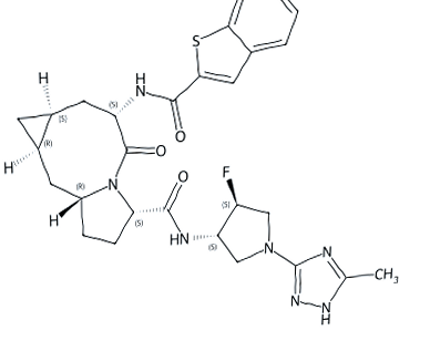 Cc1nc(N2C[C@H](NC(=O)[C@@H]3CC[C@@H]4C[C@H]5C[C@H]5C[C@H](NC(=O)c5cc6ccccc6s5)C(=O)N43)[C@@H](F)C2)n[nH]1